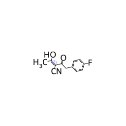 C/C(O)=C(\C#N)C(=O)Cc1ccc(F)cc1